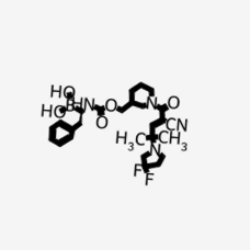 CC(C)(C=C(C#N)C(=O)N1CCCC(COC(=O)N[C@@H](Cc2ccccc2)B(O)O)C1)N1CCC(F)(F)C1